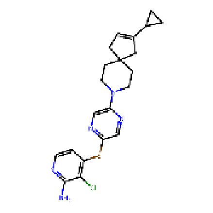 Nc1nccc(Sc2cnc(N3CCC4(CC=C(C5CC5)C4)CC3)cn2)c1Cl